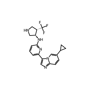 FC(F)(F)[C@H]1CNC[C@@H]1Nc1cccc(-c2cnc3ccc(C4CC4)cn23)n1